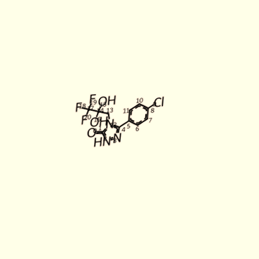 O=c1[nH]nc(-c2ccc(Cl)cc2)n1CC(O)(O)C(F)(F)F